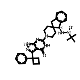 CC(C)(C)[S@@+]([O-])N[C@@H]1c2ccccc2CC12CCN(c1nc3[nH]nc(C4(c5ccccc5)CCC4)c3c(=O)[nH]1)CC2